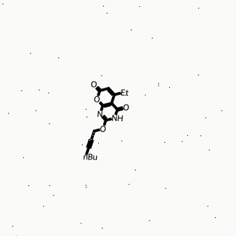 CCCCC#CCOc1nc2oc(=O)cc(CC)c2c(=O)[nH]1